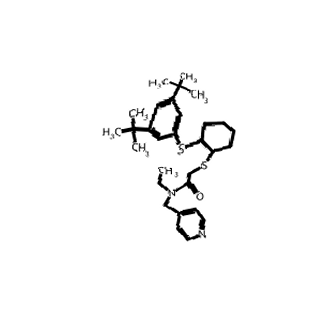 CCN(Cc1ccncc1)C(=O)CSC1CCCCC1Sc1cc(C(C)(C)C)cc(C(C)(C)C)c1